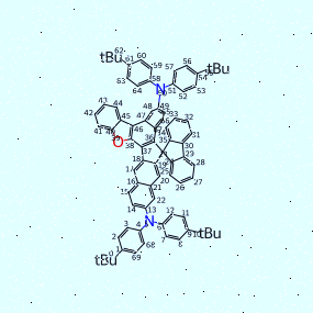 CC(C)(C)c1ccc(N(c2ccc(C(C)(C)C)cc2)c2ccc3cc4c(cc3c2)C2(c3ccccc3-c3ccccc32)c2c-4c3oc4ccccc4c3c3cc(N(c4ccc(C(C)(C)C)cc4)c4ccc(C(C)(C)C)cc4)ccc23)cc1